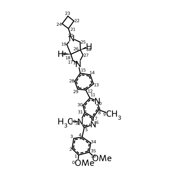 COc1ccc(-c2nc3c(C)nc(-c4ccc(N5C[C@@H]6CN(C7CCC7)C[C@@H]6C5)cc4)cc3n2C)cc1OC